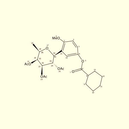 COc1ccc(OC(=O)C2CCCCC2)cc1[C@@H]1O[C@H](C)[C@H](OC(C)=O)[C@H](OC(C)=O)[C@H]1OC(C)=O